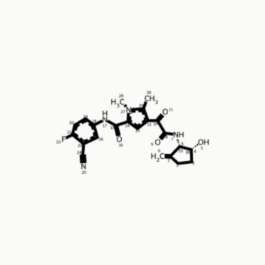 C=C1CC[C@@H](O)[C@H]1NC(=O)C(=O)c1cc(C(=O)Nc2ccc(F)c(C#N)c2)n(C)c1C